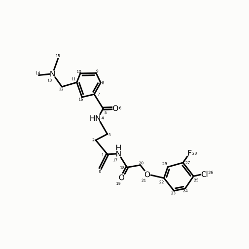 C=C(CCNC(=O)c1cccc(CN(C)C)c1)NC(=O)COc1ccc(Cl)c(F)c1